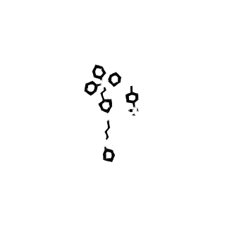 Cc1ccc(S(=O)(=O)[O-])cc1.c1ccc(OCCCCOc2ccc(CC[P+](c3ccccc3)(c3ccccc3)c3ccccc3)cc2)cc1